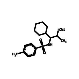 CCCCCCCCC(C)C(NS(=O)(=O)c1ccc(C)cc1)C1CCCCC1